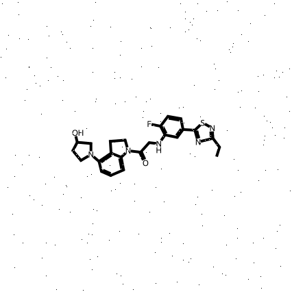 CCc1nsc(-c2ccc(F)c(NCC(=O)N3CCc4c(N5CCC(O)C5)cccc43)c2)n1